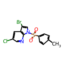 Cc1ccc(S(=O)(=O)n2cc(Br)c3cc(Cl)cnc32)cc1